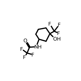 O=C(NC1CCCC(O)(C(F)(F)F)C1)C(F)(F)F